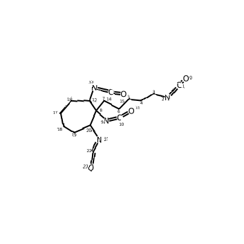 O=C=NCCCCCC1(N=C=O)C(N=C=O)CCCCC1N=C=O